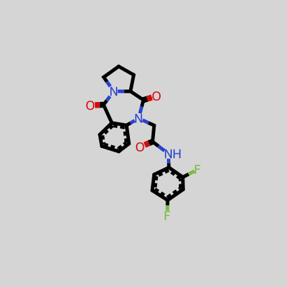 O=C(CN1C(=O)C2CCCN2C(=O)c2ccccc21)Nc1ccc(F)cc1F